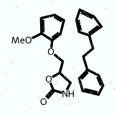 COc1ccccc1OCC1CNC(=O)O1.c1ccc(CCc2ccccc2)cc1